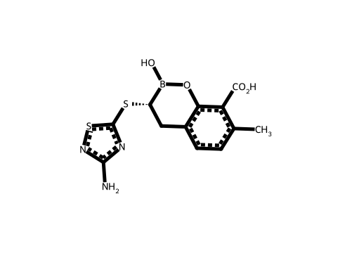 Cc1ccc2c(c1C(=O)O)OB(O)[C@@H](Sc1nc(N)ns1)C2